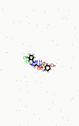 COc1ccc(C)c(S(=O)(=O)NC(=O)c2cn(C)c(-c3cccc(Cl)c3Cl)n2)c1